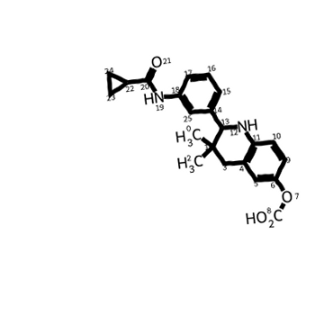 CC1(C)Cc2cc(OC(=O)O)ccc2NC1c1cccc(NC(=O)C2CC2)c1